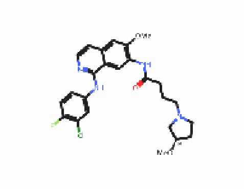 COc1cc2ccnc(Nc3ccc(F)c(Cl)c3)c2cc1NC(=O)CCCN1CC[C@@H](OC)C1